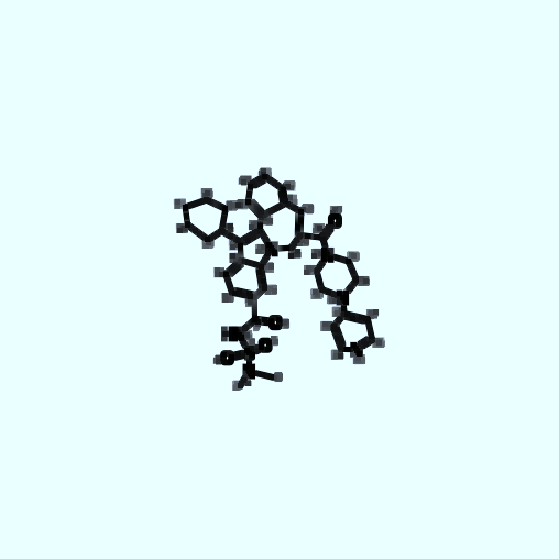 CN(C)S(=O)(=O)NC(=O)c1ccc2c(C3CCCCC3)c3n(c2c1)CC(C(=O)N1CCN(c2ccncc2)CC1)=Cc1ccccc1-3